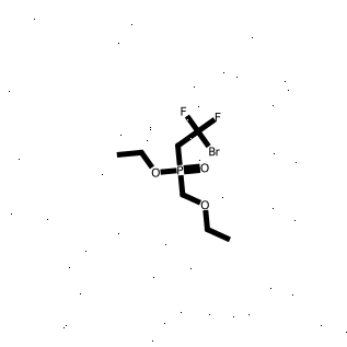 CCOCP(=O)(CC(F)(F)Br)OCC